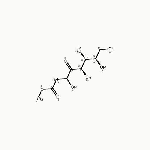 CC(C)(C)OC(=O)NC(O)C(=O)[C@H](O)[C@@H](O)[C@H](O)CO